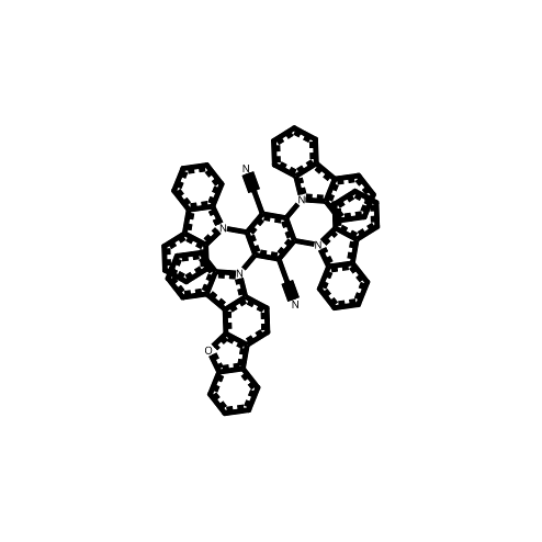 N#Cc1c(-n2c3ccccc3c3ccccc32)c(-n2c3ccccc3c3ccccc32)c(C#N)c(-n2c3ccccc3c3c4oc5ccccc5c4ccc32)c1-n1c2ccccc2c2ccccc21